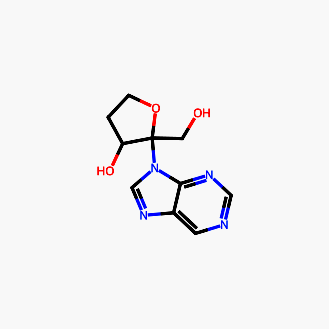 OCC1(n2cnc3cncnc32)OCCC1O